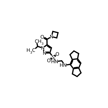 CC(C)n1nc(S(=O)(=O)NCNc2c3c(cc4c2CCC4)CCC3)cc1C(=O)N1CCC1